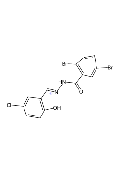 O=C(N/N=C/c1cc(Cl)ccc1O)c1cc(Br)ccc1Br